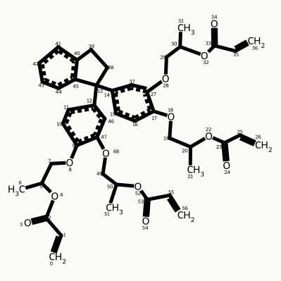 C=CC(=O)OC(C)COc1ccc(C2(c3ccc(OCC(C)OC(=O)C=C)c(OCC(C)OC(=O)C=C)c3)CCc3ccccc32)cc1OCC(C)OC(=O)C=C